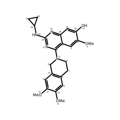 COc1cc2c(N3CCc4cc(OC)c(OC)cc4C3)nc(NC3CC3)nc2cc1O